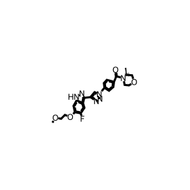 COCCOc1cc2[nH]nc(-c3cn(-c4ccc(C(=O)N5CCOC[C@@H]5C)cc4)nn3)c2cc1F